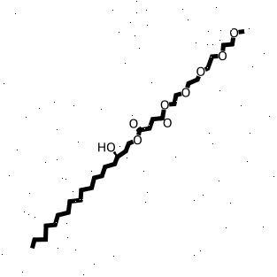 CCCCCCCCCCCCCCC[C@@H](O)CCOC(=O)CCC(=O)OCCOCCOCCOCCOC